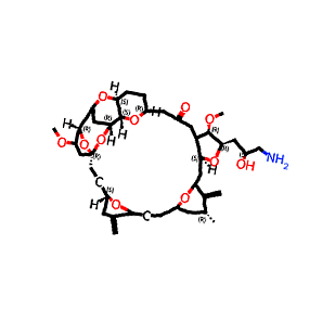 C=C1C[C@@H]2CC[C@]34CC(OC)[C@@H](O3)C3C[C@@H](O4)[C@H]4O[C@H](CC[C@@H]4O3)CC(=O)CC3[C@H](CC4OC(CCC1O2)C[C@@H](C)C4=C)O[C@H](C[C@H](O)CN)[C@@H]3OC